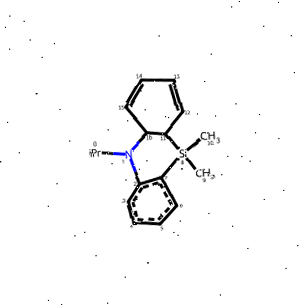 CC(C)N1c2ccccc2[Si](C)(C)C2C=CC=CC21